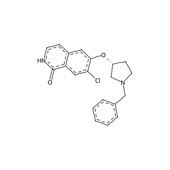 O=c1[nH]ccc2cc(O[C@@H]3CCN(Cc4ccccc4)C3)c(Cl)cc12